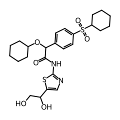 O=C(Nc1ncc(C(O)CO)s1)C(OC1CCCCC1)c1ccc(S(=O)(=O)C2CCCCC2)cc1